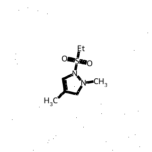 CCS(=O)(=O)N1C=C(C)CN1C